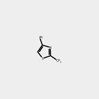 CC(C)c1csc(C(F)(F)F)n1